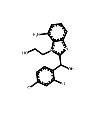 Nc1cccc2nc(C(O)c3ccc(Cl)cc3Cl)n(CCO)c12